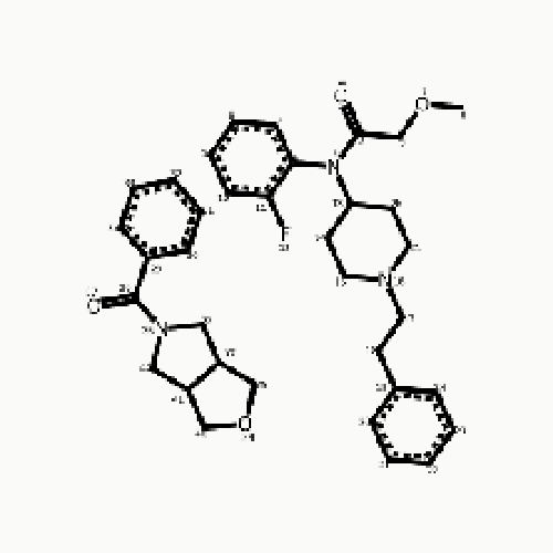 COCC(=O)N(c1ccccc1F)C1CCN(CCc2ccccc2)CC1.O=C(c1ccccc1)N1CC2COCC2C1